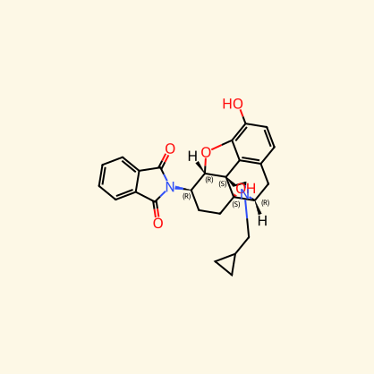 O=C1c2ccccc2C(=O)N1[C@@H]1CC[C@@]2(O)[C@H]3Cc4ccc(O)c5c4[C@@]2(CCN3CC2CC2)[C@H]1O5